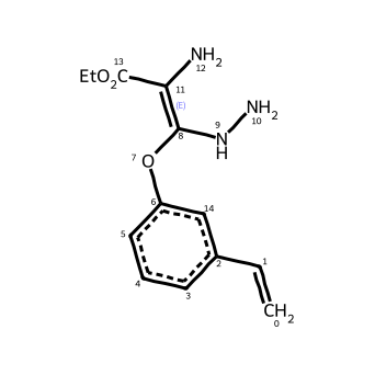 C=Cc1cccc(O/C(NN)=C(/N)C(=O)OCC)c1